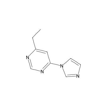 CCc1cc(-n2ccnc2)ncn1